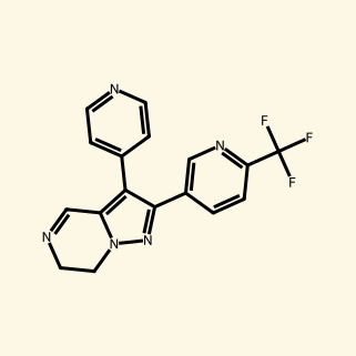 FC(F)(F)c1ccc(-c2nn3c(c2-c2ccncc2)C=NCC3)cn1